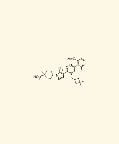 COc1cccc(F)c1C(=O)CN(CC1CC(C)(C)C1)C(=O)c1cnn([C@H]2CC[C@](C)(C(=O)O)CC2)c1C(F)(F)F